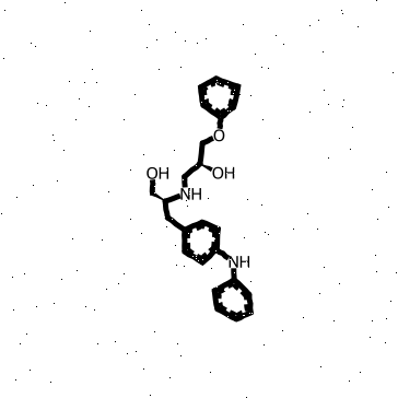 OC[C@H](Cc1ccc(Nc2ccccc2)cc1)NC[C@H](O)COc1ccccc1